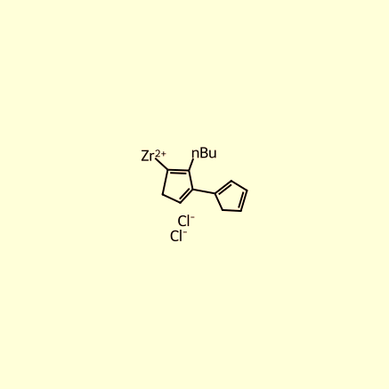 CCCCC1=[C]([Zr+2])CC=C1C1=CC=CC1.[Cl-].[Cl-]